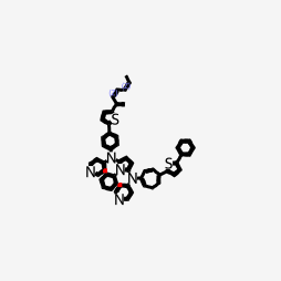 C=C(/C=C\C=C/C)c1ccc(-c2ccc(N(c3ccncc3)c3ccc(N(C4=CCC=C(c5ccc(-c6ccccc6)s5)C=C4)c4ccncc4)n3-c3ccccc3)cc2)s1